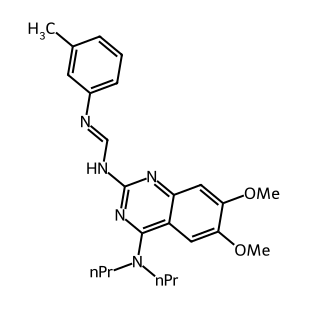 CCCN(CCC)c1nc(N/C=N/c2cccc(C)c2)nc2cc(OC)c(OC)cc12